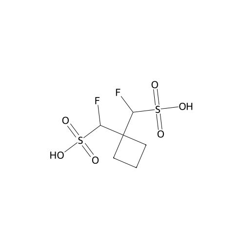 O=S(=O)(O)C(F)C1(C(F)S(=O)(=O)O)CCC1